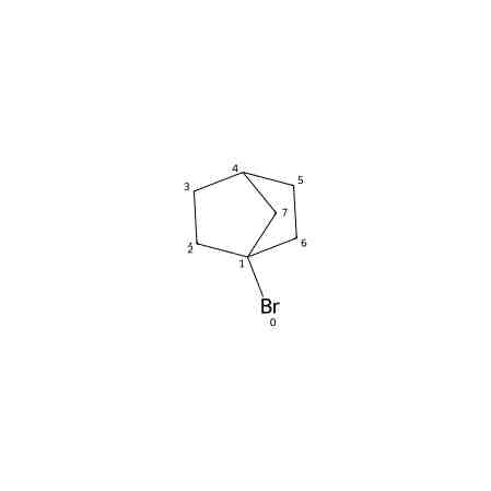 BrC12[CH]CC(CC1)C2